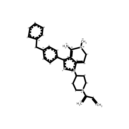 C=CC(=C)N1CCC(n2nc(-c3ccc(Cc4ccccc4)cc3)c3c2=CCN(C)C=3N)CC1